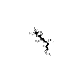 COC[C@@H](F)CN(C)CC[C@H](N)C(=O)OC(C)(C)C